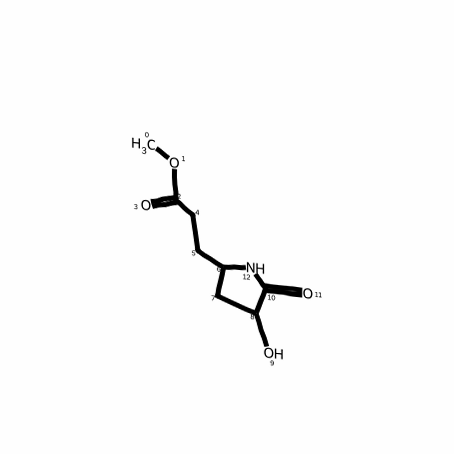 COC(=O)CCC1CC(O)C(=O)N1